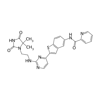 CC1(C)C(=O)NC(=O)N1CCNc1nccc(-c2cc3cc(NC(=O)c4ccccn4)ccc3s2)n1